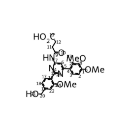 COc1ccc(-c2cc(NC(=O)CCC(=O)O)nc(-c3ccc(CO)cc3OC)n2)c(OC)c1